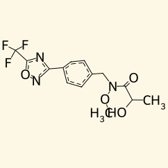 CON(Cc1ccc(-c2noc(C(F)(F)F)n2)cc1)C(=O)C(C)O